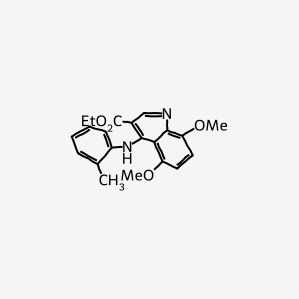 CCOC(=O)c1cnc2c(OC)ccc(OC)c2c1Nc1ccccc1C